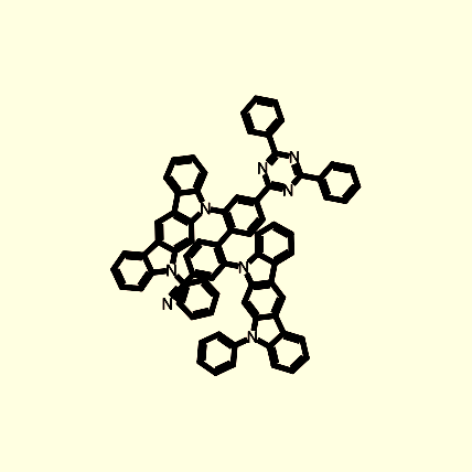 N#Cc1ccc(-c2ccc(-c3nc(-c4ccccc4)nc(-c4ccccc4)n3)cc2-n2c3ccccc3c3cc4c5ccccc5n(-c5ccccc5)c4cc32)c(-n2c3ccccc3c3cc4c5ccccc5n(-c5ccccc5)c4cc32)c1